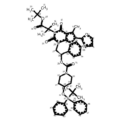 Cc1c(-c2ncco2)sc2c1c(=O)n(C(C)(C)C(=O)OC(C)(C)C)c(=O)n2C[C@H](OC(=O)N1CCC(O[Si](c2ccccc2)(c2ccccc2)C(C)(C)C)CC1)c1ccccc1